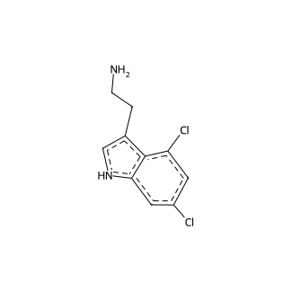 NCCc1c[nH]c2cc(Cl)cc(Cl)c12